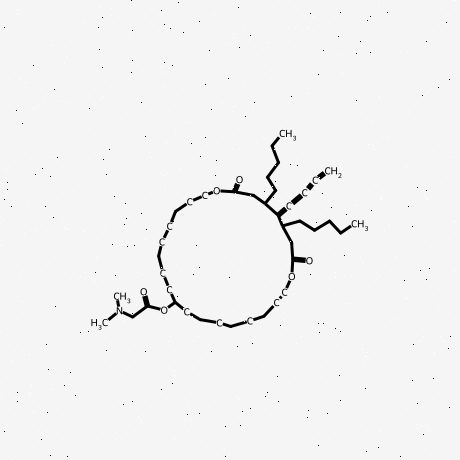 C=C=C=C=C1C(CCCCC)CC(=O)OCCCCCCCCC(OC(=O)CN(C)C)CCCCCCCCOC(=O)CC1CCCCC